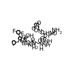 CC(C)C(NC(=O)CCNC(=O)[C@@H](N)CCN(C(=O)CO)[C@@H](c1cc(-c2cc(F)ccc2F)cn1Cc1ccccc1)C(C)(C)C)C(=O)N[C@@H](CCCNC(N)=O)C(=O)OC1CCN(C(=O)CN2C(=O)C=CC2=O)CC1